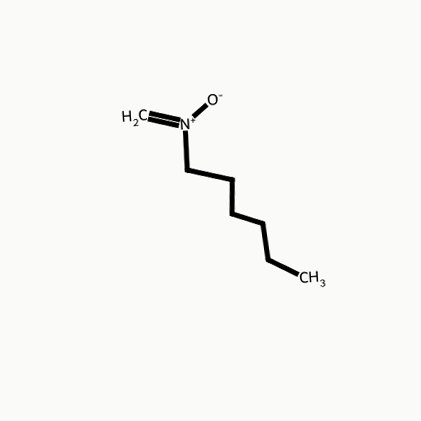 C=[N+]([O-])CCCCCC